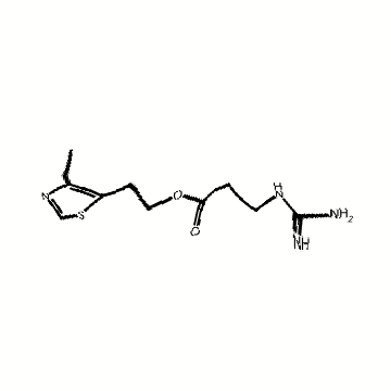 Cc1ncsc1CCOC(=O)CCNC(=N)N